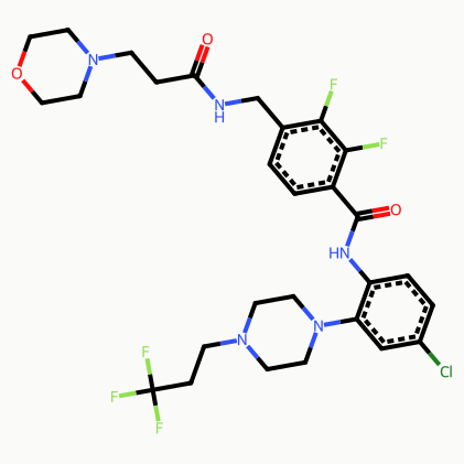 O=C(CCN1CCOCC1)NCc1ccc(C(=O)Nc2ccc(Cl)cc2N2CCN(CCC(F)(F)F)CC2)c(F)c1F